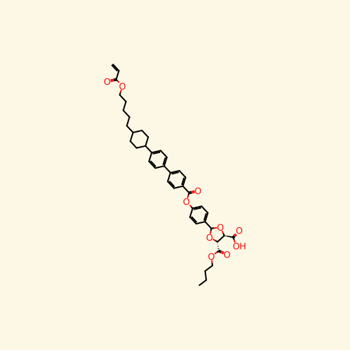 C=CC(=O)OCCCCCC1CCC(c2ccc(-c3ccc(C(=O)Oc4ccc(C5O[C@@H](C(=O)O)[C@H](C(=O)OCCCC)O5)cc4)cc3)cc2)CC1